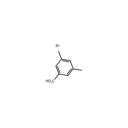 Cc1cc(C)cc(C(=O)O)c1.[Zn]